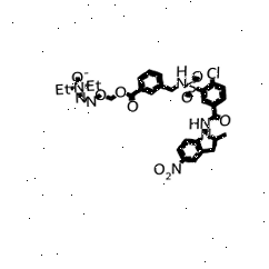 CC[N+]([O-])(CC)/N=N\OCOC(=O)c1cccc(CNS(=O)(=O)c2cc(C(=O)NN3c4ccc([N+](=O)[O-])cc4CC3C)ccc2Cl)c1